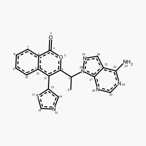 CC(c1oc(=O)c2ccccc2c1-c1cncs1)n1ncc2c(N)ncnc21